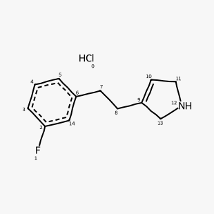 Cl.Fc1cccc(CCC2=CCNC2)c1